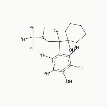 [2H]c1c([2H])c(C([2H])(CN(C)C([2H])([2H])[2H])C2(O)CCCCC2)c([2H])c([2H])c1O